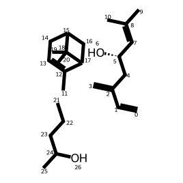 C=CC(=C)C[C@H](O)C=C(C)C.CC1=CCC2CC1C2(C)C.CCCC(C)O